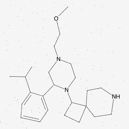 COCCN1CCN(C2CCC23CCNCC3)C(c2ccccc2C(C)C)C1